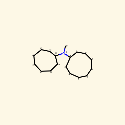 CN(C1CCCCCCCC1)C1CCCCCCC1